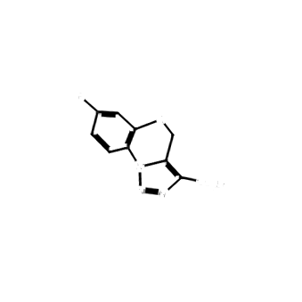 CCOC(=O)c1nnn2c1CSc1cc(F)ccc1-2